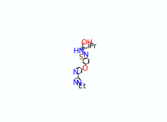 CCn1cc(-c2cc(Oc3ccc4nc(N[C@@H](CO)CC(C)C)sc4c3)ccn2)cn1